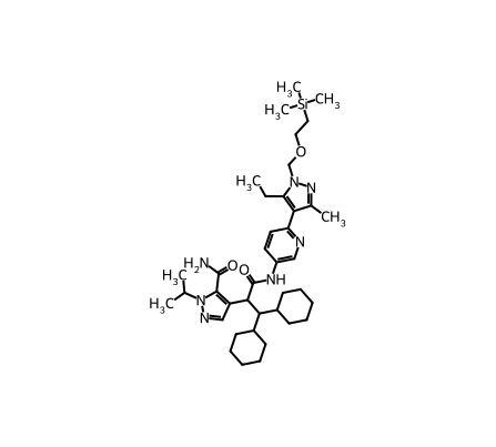 CCc1c(-c2ccc(NC(=O)C(c3cnn(C(C)C)c3C(N)=O)C(C3CCCCC3)C3CCCCC3)cn2)c(C)nn1COCC[Si](C)(C)C